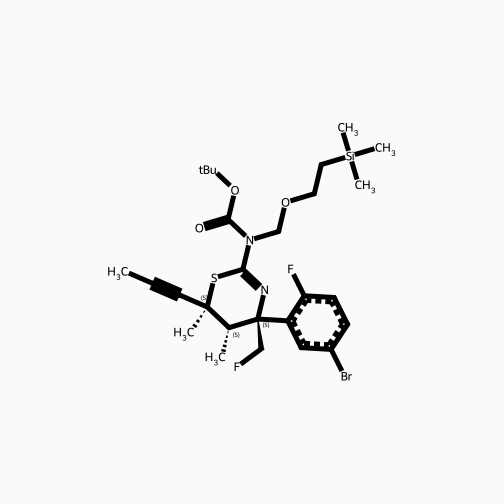 CC#C[C@@]1(C)SC(N(COCC[Si](C)(C)C)C(=O)OC(C)(C)C)=N[C@](CF)(c2cc(Br)ccc2F)[C@@H]1C